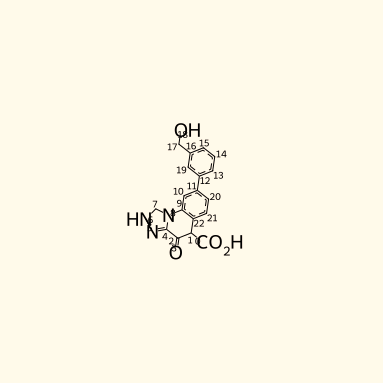 O=C(O)C1C(=O)C2=NNCN2c2cc(-c3cccc(CO)c3)ccc21